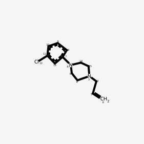 C=CCN1CCN(c2cccc(Cl)c2)CC1